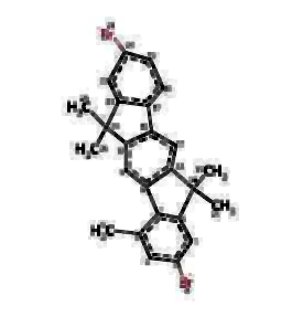 Cc1cc(Br)cc2c1-c1cc3c(cc1C2(C)C)-c1ccc(Br)cc1C3(C)C